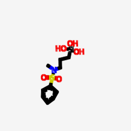 CN(CCC[Si](O)(O)O)S(=O)(=O)c1ccccc1